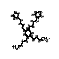 [CH2]CC[CH]c1cc(CCCCn2ccnc2)c(CCCCn2ccnc2)cc1[CH]CC[CH2]